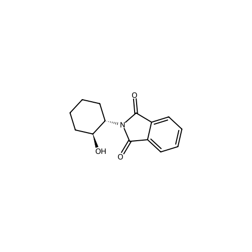 O=C1c2ccccc2C(=O)N1[C@H]1CCCC[C@@H]1O